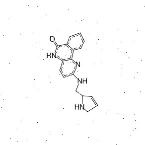 O=c1[nH]c2ccc(NCC3C=CCN3)nc2c2ccccc12